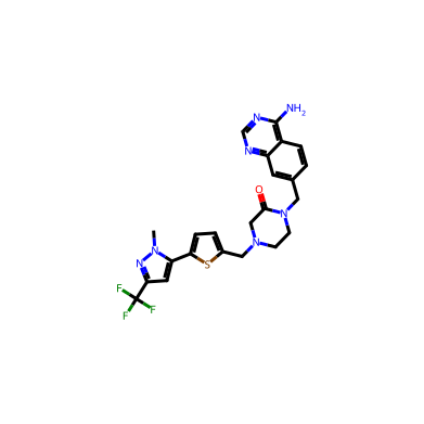 Cn1nc(C(F)(F)F)cc1-c1ccc(CN2CCN(Cc3ccc4c(N)ncnc4c3)C(=O)C2)s1